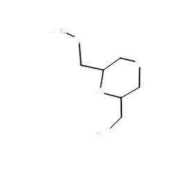 NOCC1COCC(CO)O1